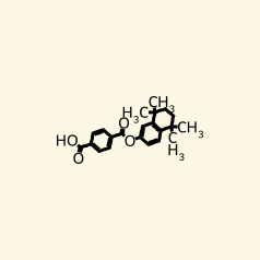 CC1(C)CCC(C)(C)c2cc(OC(=O)c3ccc(C(=O)O)cc3)ccc21